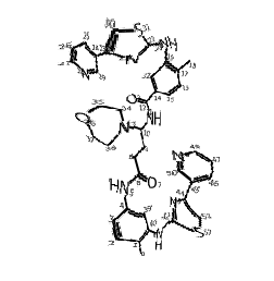 Cc1ccc(NC(=O)CCC(NC(=O)c2ccc(C)c(Nc3nc(-c4cccnc4)cs3)c2)N2CCOCC2)cc1Nc1nc(-c2cccnc2)cs1